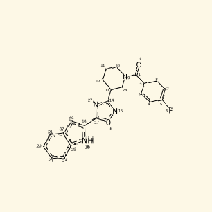 O=C(C1C=CC(F)=CC1)N1CCCC(c2noc(-c3cc4ccccc4[nH]3)n2)C1